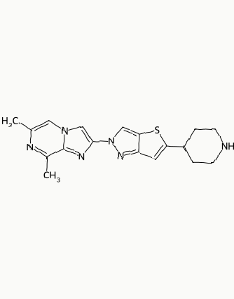 Cc1cn2cc(-n3cc4sc(C5CCNCC5)cc4n3)nc2c(C)n1